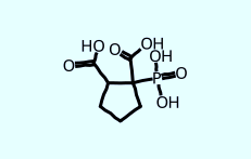 O=C(O)C1CCCC1(C(=O)O)P(=O)(O)O